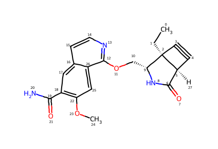 CC[C@]12C#C[C@H]1C(=O)N[C@@H]2COc1nccc2cc(C(N)=O)c(OC)cc12